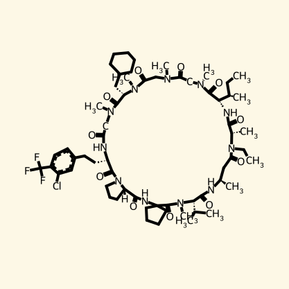 CC[C@H](C)[C@@H]1NC(=O)[C@H](C)N(CC)C(=O)C[C@@H](C)NC(=O)[C@H](C(C)C)N(C)C(=O)C2(CCCC2)NC(=O)[C@@H]2CCCN2C(=O)[C@H](CCc2ccc(C(F)(F)F)c(Cl)c2)NC(=O)CN(C)C(=O)[C@H](CC2CCCCC2)N(C)C(=O)CN(C)C(=O)CN(C)C1=O